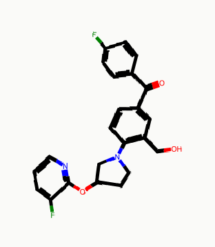 O=C(c1ccc(F)cc1)c1ccc(N2CCC(Oc3ncccc3F)C2)c(CO)c1